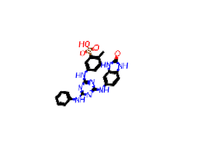 Cc1ccc(Nc2nc(Nc3ccccc3)nc(Nc3ccc4[nH]c(=O)[nH]c4c3)n2)cc1S(=O)(=O)O